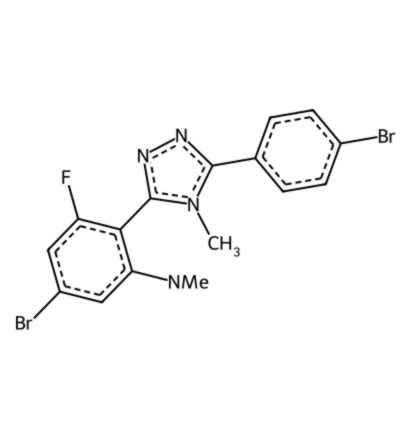 CNc1cc(Br)cc(F)c1-c1nnc(-c2ccc(Br)cc2)n1C